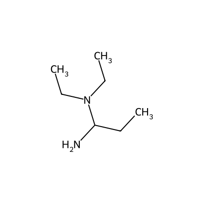 CCC(N)N(CC)CC